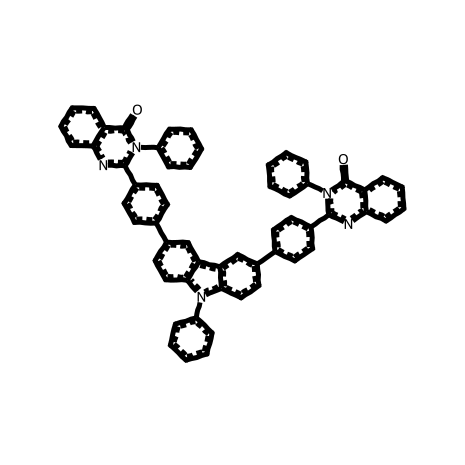 O=c1c2ccccc2nc(-c2ccc(-c3ccc4c(c3)c3cc(-c5ccc(-c6nc7ccccc7c(=O)n6-c6ccccc6)cc5)ccc3n4-c3ccccc3)cc2)n1-c1ccccc1